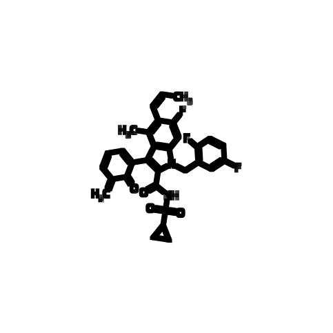 C=C1C=CC=C(c2c(C(=O)NS(=O)(=O)C3CC3)n(Cc3cc(F)ccc3F)c3cc(F)c(/C=C\C)c(C)c23)C1=O